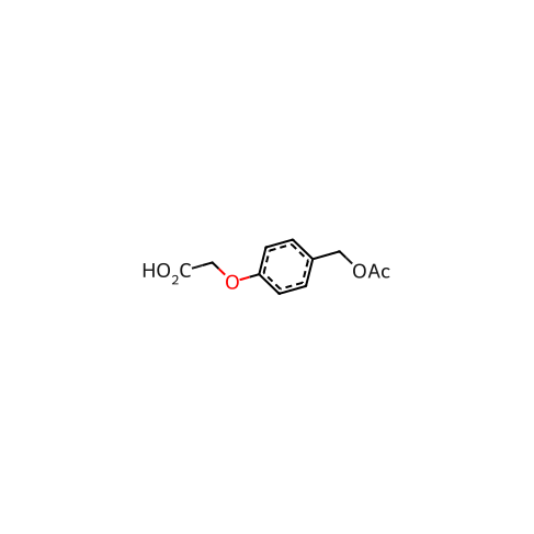 CC(=O)OCc1ccc(OCC(=O)O)cc1